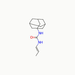 CC=CNC(=O)NC12CC3CC(CC(C3)C1)C2